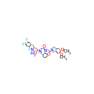 COc1cc2c(cc1OC)CN(C(=O)CN1C(=O)CN(C(=O)C[C@H](N)Cc3cc(F)c(F)cc3F)Cc3ccccc31)CC2